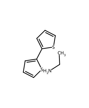 CCN.c1csc(-c2cccs2)c1